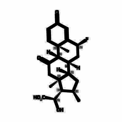 C[C@@H]1C[C@H]2[C@@H]3C[C@H](F)C4=CC(=O)C=C[C@]4(C)[C@H]3C(=O)C[C@]2(C)[C@H]1[C@@H](O)C(=O)O